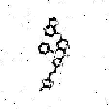 Cc1cnc(CCc2csc(Nc3ncc(Sc4ccnc5ccsc45)cc3Oc3ccccc3)n2)o1